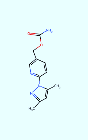 Cc1cc(C)n(-c2ccc(COC(N)=O)cn2)n1